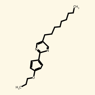 CCCCCCCCCc1cnc(-c2ccc(OCCC)cc2)nc1